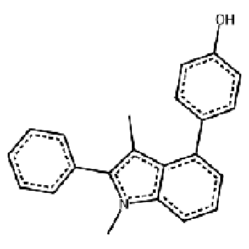 Cc1c(-c2ccccc2)n(C)c2cccc(-c3ccc(O)cc3)c12